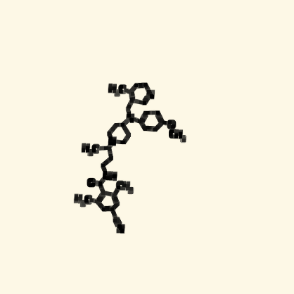 COc1ccc(N(Cc2cnccc2C)C2CCN(C(C)CCNC(=O)c3c(C)cc(C#N)cc3C)CC2)cc1